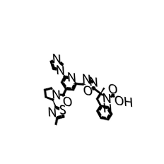 Cc1csc([C@H]2CCCN2C(=O)c2cc(-c3nnc([C@@](C)(Cc4ccccc4)NC(=O)O)o3)nc(-n3ccnc3)c2)n1